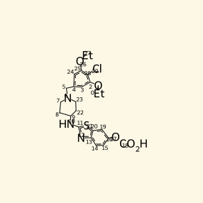 CCOc1cc(CN2CCC(Nc3nc4ccc(OC(=O)O)cc4s3)CC2)cc(OCC)c1Cl